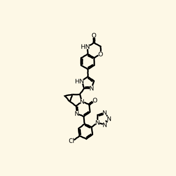 O=C1COc2cc(-c3cnc(C4C5CC5c5nc(-c6cc(Cl)ccc6-n6cnnn6)cc(=O)n54)[nH]3)ccc2N1